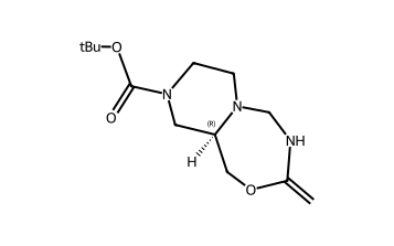 C=C1NCN2CCN(C(=O)OC(C)(C)C)C[C@@H]2CO1